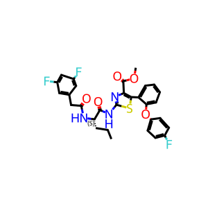 CCC[C@H](NC(=O)Cc1cc(F)cc(F)c1)C(=O)Nc1nc(C(=O)OC)c(-c2ccccc2Oc2ccc(F)cc2)s1